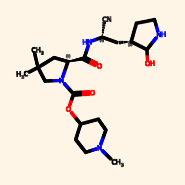 CN1CCC(OC(=O)N2CC(C)(C)C[C@H]2C(=O)N[C@H](C#N)C[C@@H]2CCNC2O)CC1